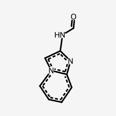 O=CNc1cn2ccccc2n1